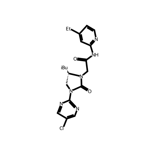 CCc1ccnc(NC(=O)CN2C(=O)N(c3ncc(Cl)cn3)C[C@@H]2[C@@H](C)CC)c1